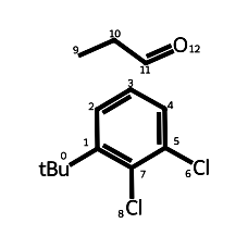 CC(C)(C)c1cccc(Cl)c1Cl.CCC=O